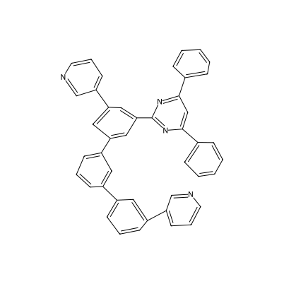 c1ccc(-c2cc(-c3ccccc3)nc(-c3cc(-c4cccnc4)cc(-c4cccc(-c5cccc(-c6cccnc6)c5)c4)c3)n2)cc1